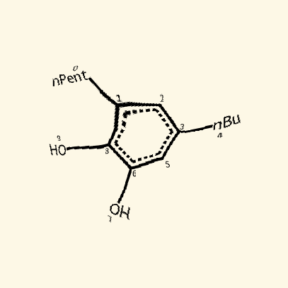 CCCCCc1cc(CCCC)cc(O)c1O